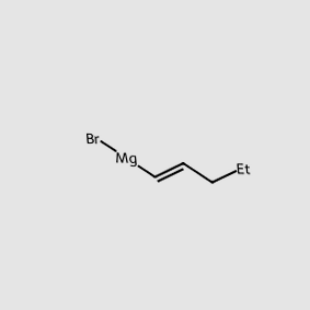 CCCC=[CH][Mg][Br]